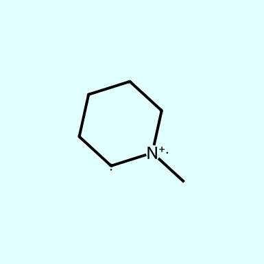 C[N+]1[CH]CCCC1